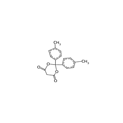 Cc1ccc(C2(c3ccc(C)cc3)OC(=O)CC(=O)O2)cc1